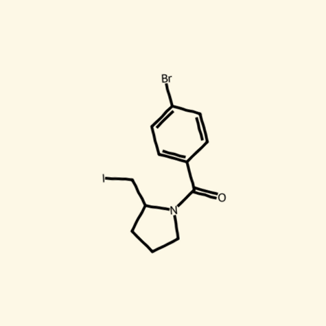 O=C(c1ccc(Br)cc1)N1CCCC1CI